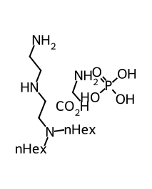 CCCCCCN(CCCCCC)CCNCCN.NCC(=O)O.O=P(O)(O)O